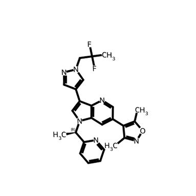 Cc1noc(C)c1-c1cnc2c(-c3cnn(CC(C)(F)F)c3)cn([C@H](C)c3ccccn3)c2c1